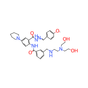 COc1ccc(C=NNC(=O)c2cc(N3CCCCC3)ccc2NC(=O)c2cccc(CNCCN(CCO)CCO)c2)cc1